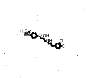 CS(=O)(=O)Nc1ccc(OC[C@H](O)CNCC=Cc2ccc(Cl)c(Cl)c2)cc1